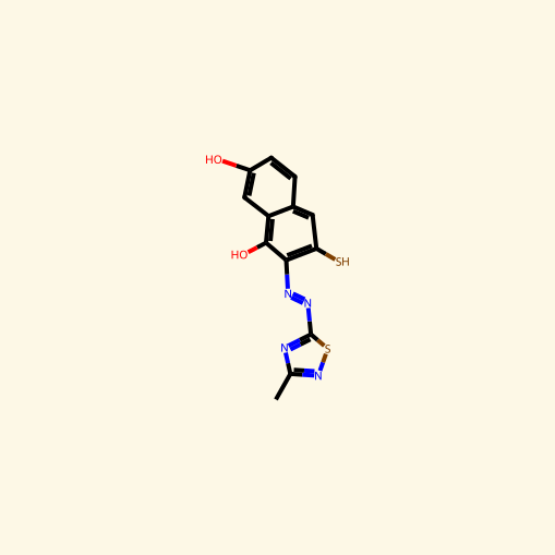 Cc1nsc(/N=N/c2c(S)cc3ccc(O)cc3c2O)n1